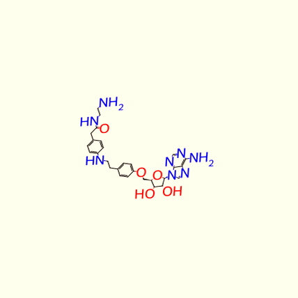 NCCNC(=O)Cc1ccc(NCCc2ccc(OC[C@H]3O[C@@H](n4cnc5c(N)ncnc54)[C@H](O)[C@@H]3O)cc2)cc1